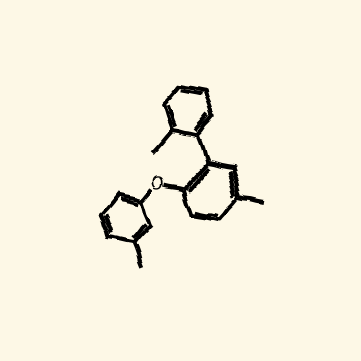 Cc1cccc(Oc2ccc(C)cc2-c2ccccc2C)c1